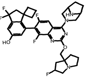 Oc1cc(-c2c(F)cc3c(N4CC5CCC(C4)N5)nc(OCC45CCCN4CC(F)C5)nc3c2F)c2c(c1)C(F)(F)CC21CCC1